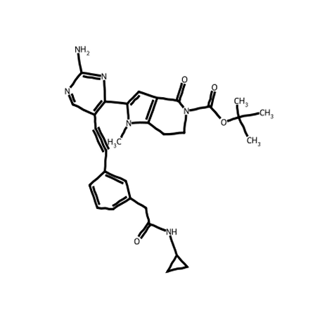 Cn1c(-c2nc(N)ncc2C#Cc2cccc(CC(=O)NC3CC3)c2)cc2c1CCN(C(=O)OC(C)(C)C)C2=O